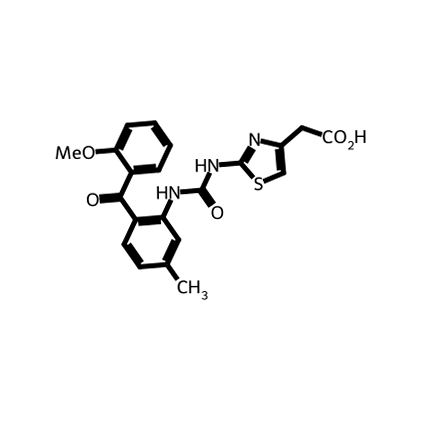 COc1ccccc1C(=O)c1ccc(C)cc1NC(=O)Nc1nc(CC(=O)O)cs1